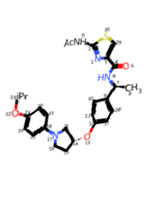 CC(=O)Nc1nc(C(=O)N[C@@H](C)c2ccc(O[C@@H]3CCN(c4ccc(OC(C)C)cc4)C3)cc2)cs1